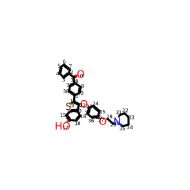 O=C(c1ccccc1)c1ccc(-c2sc3cc(O)ccc3c2Oc2ccc(OCCN3CCCCC3)cc2)cc1